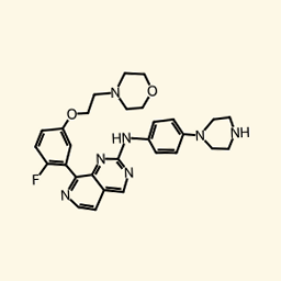 Fc1ccc(OCCN2CCOCC2)cc1-c1nccc2cnc(Nc3ccc(N4CCNCC4)cc3)nc12